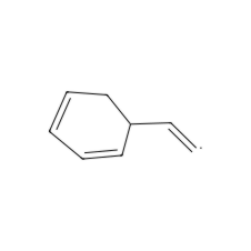 [CH]=CC1C=CC=CC1